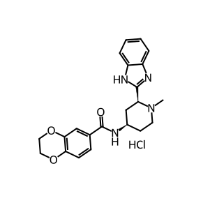 CN1CC[C@@H](NC(=O)c2ccc3c(c2)OCCO3)C[C@H]1c1nc2ccccc2[nH]1.Cl